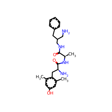 Cc1cc(O)cc(C)c1C[C@H](N)C(=O)N[C@H](C)C(=O)NCC(CN)Cc1ccccc1